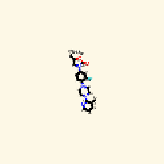 CC(=O)NCC1CN(c2ccc(N3CCN(c4ncccc4C)CC3)c(F)c2)C(=O)O1